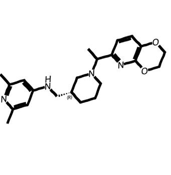 Cc1cc(NC[C@H]2CCCN(C(C)c3ccc4c(n3)OCCO4)C2)cc(C)n1